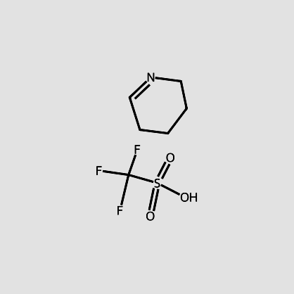 C1=NCCCC1.O=S(=O)(O)C(F)(F)F